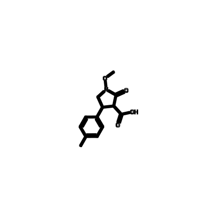 CON1CC(c2ccc(C)cc2)C(C(=O)O)C1=O